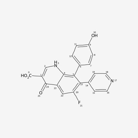 O=C(O)c1c[nH]c2c(-c3ccc(O)cc3)c(-c3ccncc3)c(F)cc2c1=O